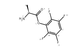 C[C@H](N)C(=O)Oc1c(F)c(F)cc(F)c1F